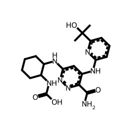 CC(C)(O)c1cccc(Nc2cc(NC3CCCCC3NC(=O)O)nnc2C(N)=O)n1